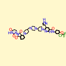 O=C1CCN(N2C(=O)c3cccc(N4CCC(CN5CCN(C6CCN(c7ncc(C(=O)Nc8ccc(OC(F)(F)Cl)cc8)cc7-c7cc[nH]n7)CC6)CC5)CC4)c3C2=O)C(=O)N1